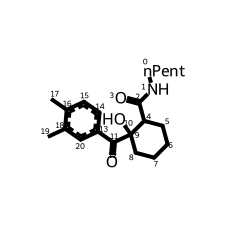 CCCCCNC(=O)C1CCCCC1(O)C(=O)c1ccc(C)c(C)c1